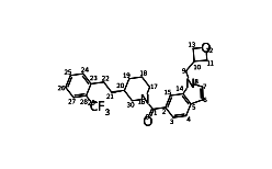 O=C(c1ccc2ccn(CC3COC3)c2c1)N1CCC[C@H](CCc2ccccc2C(F)(F)F)C1